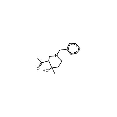 CC(=O)C1CN(Cc2ccccc2)CCC1(C)O